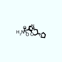 NS(=O)(=O)c1cnn2c1OCC(N1CCCC1)C2